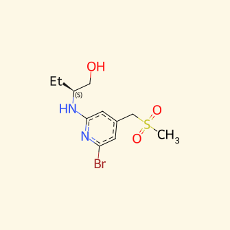 CC[C@@H](CO)Nc1cc(CS(C)(=O)=O)cc(Br)n1